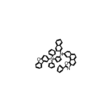 c1ccc(-c2nc3ccc4ccc5ccc(N(c6cccc([Si](c7ccccc7)(c7ccccc7)c7ccc8oc9ccccc9c8c7)c6)c6ccc7ccccc7c6)cc5c4c3o2)cc1